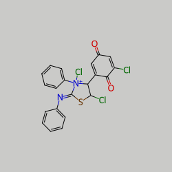 O=C1C=C(Cl)C(=O)C(C2C(Cl)SC(=Nc3ccccc3)[N+]2(Cl)c2ccccc2)=C1